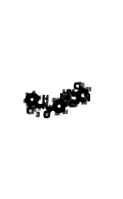 O=C(NCc1ccccc1C(F)(F)F)c1ccc2[nH]c(Nc3c(Cl)cncc3Cl)nc2c1